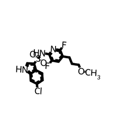 COCCCc1cc(F)c(NS(=O)(=O)c2c[nH]c3cc(Cl)ccc23)nc1F